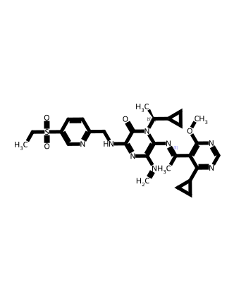 C=Nc1nc(NCc2ccc(S(=O)(=O)CC)cn2)c(=O)n([C@@H](C)C2CC2)c1/N=C(\C)c1c(OC)ncnc1C1CC1